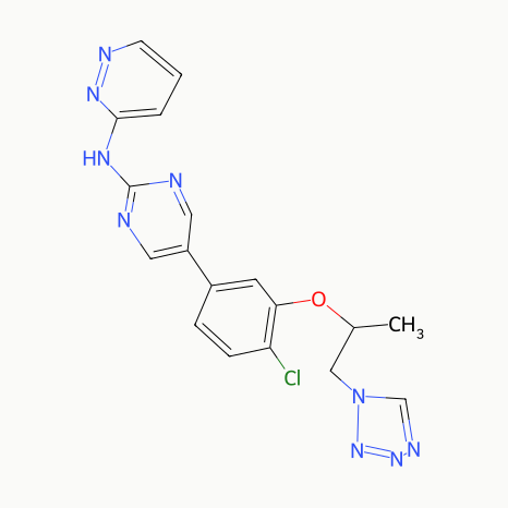 CC(Cn1cnnn1)Oc1cc(-c2cnc(Nc3cccnn3)nc2)ccc1Cl